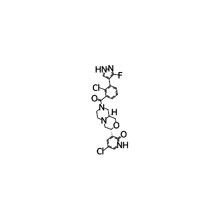 O=C(c1cccc(-c2c[nH]nc2F)c1Cl)N1CCN2C[C@@H](c3cc(Cl)c[nH]c3=O)OC[C@@H]2C1